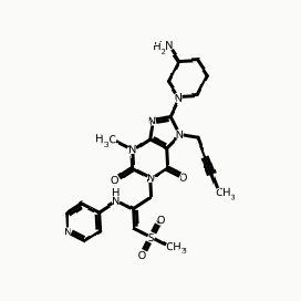 CC#CCn1c(N2CCCC(N)C2)nc2c1c(=O)n(CC(=CS(C)(=O)=O)Nc1ccncc1)c(=O)n2C